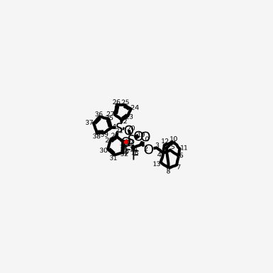 O=C(OCC12CC3CC(CC(C3)C1)C2)C(F)(F)S(=O)(=O)OS(c1ccccc1)(c1ccccc1)c1ccccc1